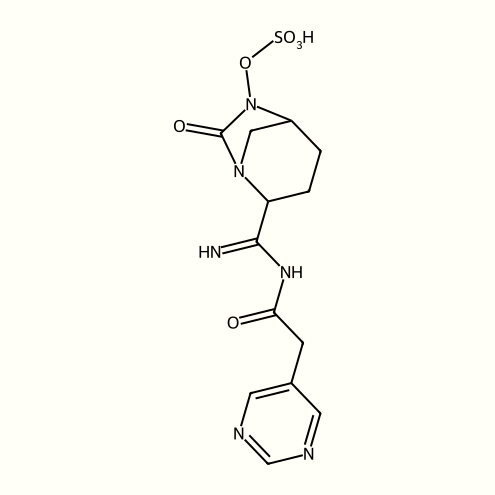 N=C(NC(=O)Cc1cncnc1)C1CCC2CN1C(=O)N2OS(=O)(=O)O